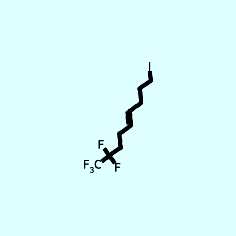 FC(F)(F)C(F)(F)CCC=CCCCI